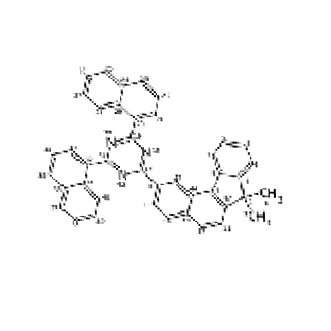 CC1(C)c2ccccc2-c2c1ccc1ccc(-c3nc(-c4cccc5ccccc45)nc(-c4cccc5ccccc45)n3)cc21